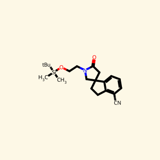 CC(C)(C)[Si](C)(C)OCCN1CC2(CCc3c(C#N)cccc32)CC1=O